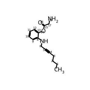 CCCCC#CCNc1ccccc1OC(=O)CN